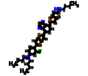 CCCCNc1cc2sc(-c3ccc(-c4cc5sc(-c6ccc(N(CCCC)CCCC)cc6F)cc5s4)c4nsnc34)cc2s1